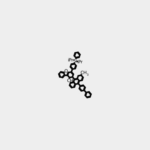 CC1C=Cc2c(c(C3C=C(c4ccc([Si](c5ccccc5)(C(C)C)C(C)C)cc4)c4oc5ccccc5c4C3C)c3ccccc3c2-c2ccc(-c3ccccc3)cc2)C1